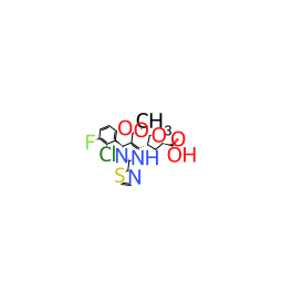 COC(=O)C1=C([C@@H]2CO[C@@H](C(=O)O)C2)NC(c2nccs2)=N[C@H]1c1cccc(F)c1Cl